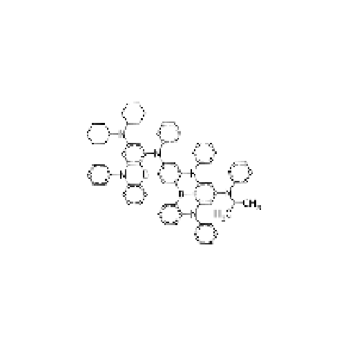 CC(C)N(c1ccccc1)c1cc2c3c(c1)N(c1ccccc1)c1cc4c(cc1B3c1ccccc1N2c1ccccc1)B1c2ccccc2N(c2ccccc2)c2cc(N(C3CCCCC3)C3CCCCC3)cc(c21)N4c1ccccc1